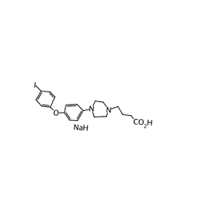 O=C(O)CCCN1CCN(c2ccc(Oc3ccc(I)cc3)cc2)CC1.[NaH]